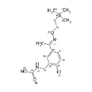 C/C(=N\OCC[Si](C)(C)C)c1ccc(Cl)c(CNC(=O)O)c1